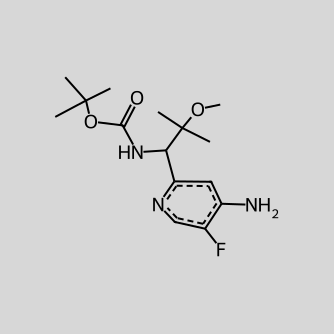 COC(C)(C)C(NC(=O)OC(C)(C)C)c1cc(N)c(F)cn1